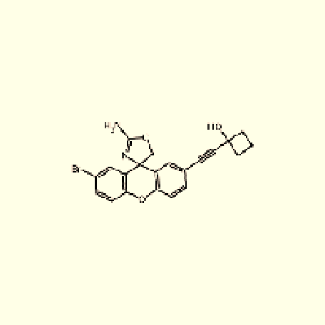 NC1=NC2(CO1)c1cc(Br)ccc1Oc1ccc(C#CC3(O)CCC3)cc12